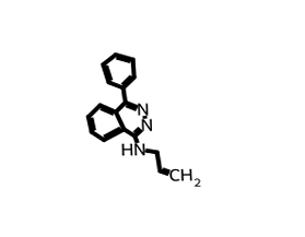 C=CCNc1nnc(-c2ccccc2)c2ccccc12